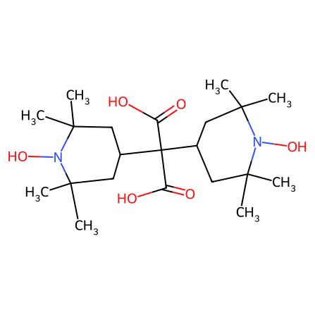 CC1(C)CC(C(C(=O)O)(C(=O)O)C2CC(C)(C)N(O)C(C)(C)C2)CC(C)(C)N1O